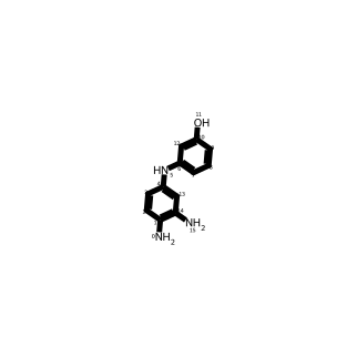 Nc1ccc(Nc2cccc(O)c2)cc1N